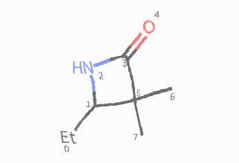 CCC1NC(=O)C1(C)C